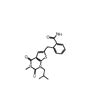 CC(C)Cn1c(=O)n(C)c(=O)c2cc(Cc3ccccc3C([NH])=O)sc21